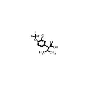 CC(C)C(C(=O)O)c1ccc(OC(F)(F)F)c(Cl)c1